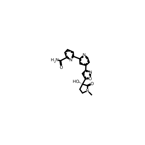 CN1CC[C@@](O)(c2cc(-c3ccnc(-c4cccc(C(N)=O)n4)c3)no2)C1=O